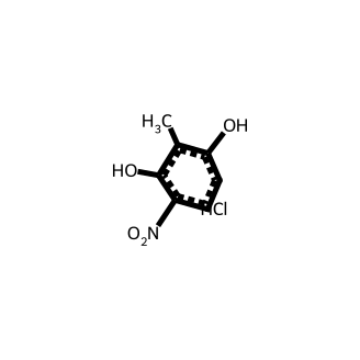 Cc1c(O)ccc([N+](=O)[O-])c1O.Cl